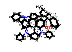 Cc1cc(C)c2c(c1)-c1ccc3c(c1)c1c4c(cc5c6ccccc6n3c51)N(c1ccccc1)c1cccc3c1B4c1ccc4c(c1N3c1ccccc1)Oc1ccccc1B42